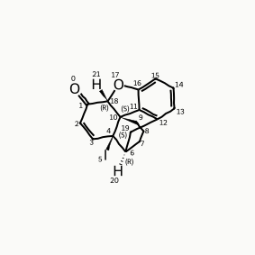 O=C1C=C[C@@]2(I)[C@@H]3CCC[C@@]24c2c(cccc2O[C@@H]14)C3